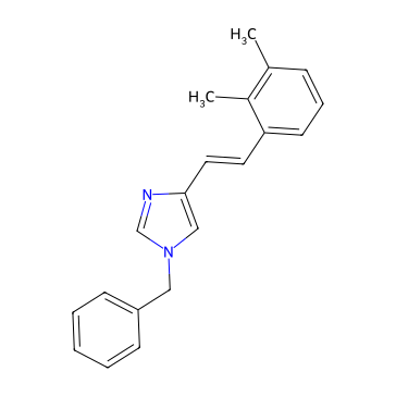 Cc1cccc(C=Cc2cn(Cc3ccccc3)cn2)c1C